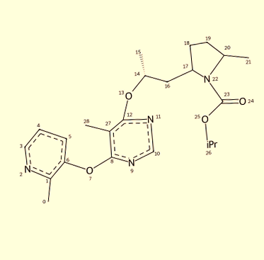 Cc1ncccc1Oc1ncnc(O[C@H](C)CC2CCC(C)N2C(=O)OC(C)C)c1C